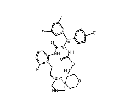 COC(=O)N[C@H](C(=O)Nc1cccc(F)c1CC[C@@H]1CNCC2(CCOCC2)O1)[C@@H](c1ccc(Cl)cc1)c1cc(F)cc(F)c1